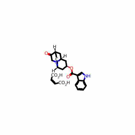 O=C(O)/C=C\C(=O)O.O=C(O[C@@H]1C[C@@H]2C[C@@H]3C[C@H](C1)N2CC3=O)c1c[nH]c2ccccc12